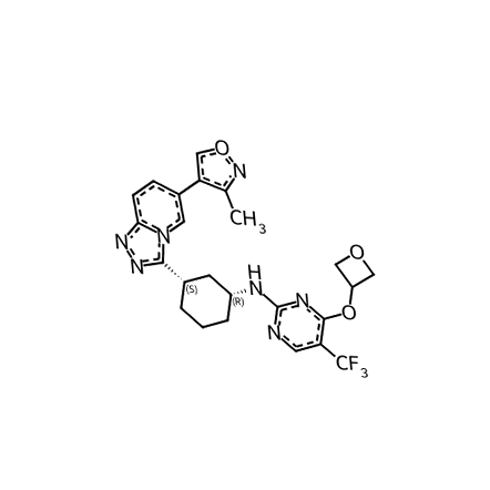 Cc1nocc1-c1ccc2nnc([C@H]3CCC[C@@H](Nc4ncc(C(F)(F)F)c(OC5COC5)n4)C3)n2c1